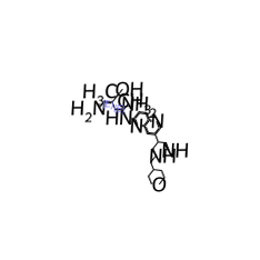 CC(C)(O)C(/C=C(\N)Nc1ccc2ncc(C(C=N)CNCC3CCOCC3)cc2n1)=C/N